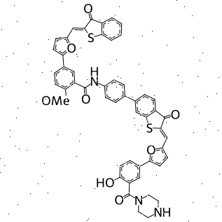 COc1ccc(-c2ccc(/C=C3\Sc4ccccc4C3=O)o2)cc1C(=O)Nc1ccc(-c2ccc3c(c2)S/C(=C\c2ccc(-c4ccc(O)c(C(=O)N5CCNCC5)c4)o2)C3=O)cc1